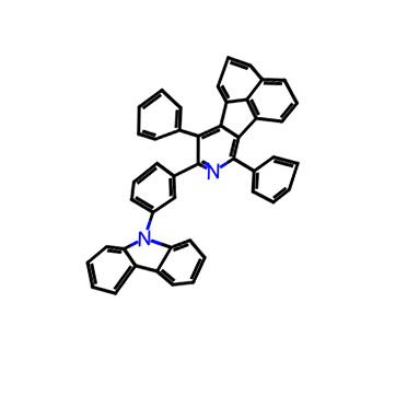 c1ccc(-c2nc(-c3cccc(-n4c5ccccc5c5ccccc54)c3)c(-c3ccccc3)c3c2-c2cccc4cccc-3c24)cc1